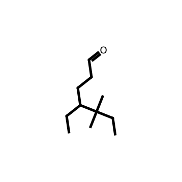 CCC(CCC=O)C(C)(C)CC